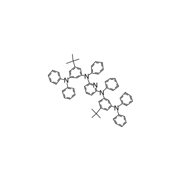 CC(C)(C)c1cc(N(c2ccccc2)c2ccccc2)cc(N(c2ccccc2)c2cccc(N(c3ccccc3)c3cc(N(c4ccccc4)c4ccccc4)cc(C(C)(C)C)c3)n2)c1